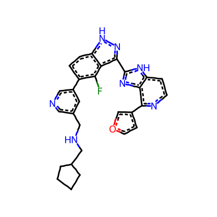 Fc1c(-c2cncc(CNCC3CCCC3)c2)ccc2[nH]nc(-c3nc4c(-c5ccoc5)nccc4[nH]3)c12